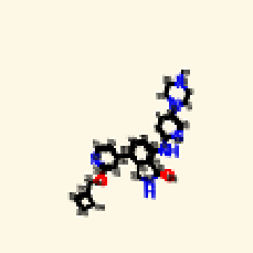 CN1CCN(c2ccc(Nc3ccc(-c4ccnc(OCC5CCC5)c4)c4c3C(=O)NC4)nc2)CC1